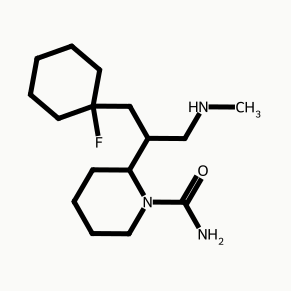 CNCC(CC1(F)CCCCC1)C1CCCCN1C(N)=O